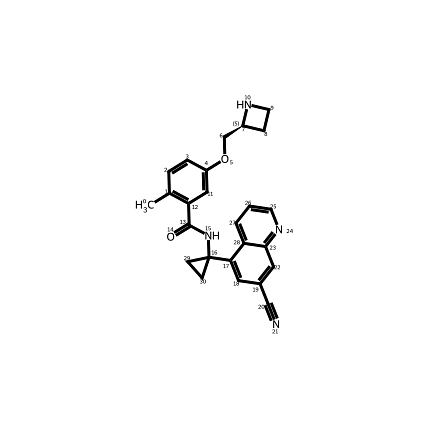 Cc1ccc(OC[C@@H]2CCN2)cc1C(=O)NC1(c2cc(C#N)cc3ncccc23)CC1